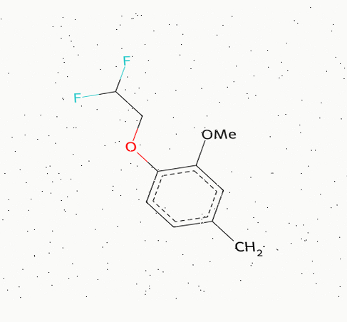 [CH2]c1ccc(OCC(F)F)c(OC)c1